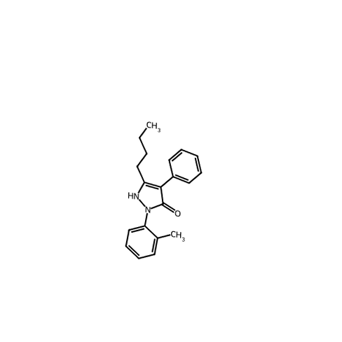 CCCCc1[nH]n(-c2ccccc2C)c(=O)c1-c1ccccc1